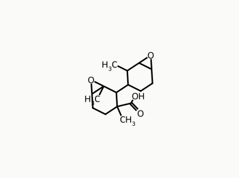 CC1C(C2C(C)(C(=O)O)CCC3OC32C)CCC2OC21